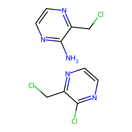 ClCc1nccnc1Cl.Nc1nccnc1CCl